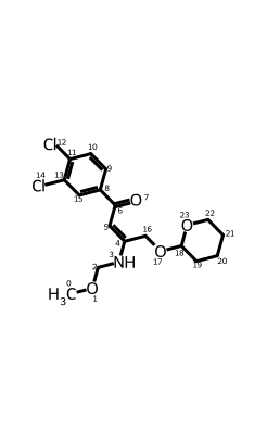 COCN/C(=C/C(=O)c1ccc(Cl)c(Cl)c1)COC1CCCCO1